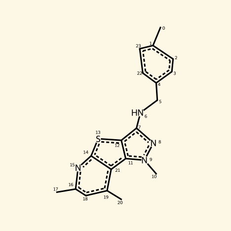 Cc1ccc(CNc2nn(C)c3c2sc2nc(C)cc(C)c23)cc1